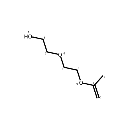 C=C(C)OCCOCCO